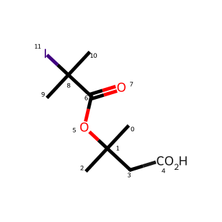 CC(C)(CC(=O)O)OC(=O)C(C)(C)I